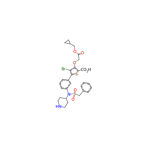 O=C(COc1c(C(=O)O)sc(-c2cccc(N(C3CCNCC3)S(=O)(=O)Cc3ccccc3)c2)c1Br)OCC1CC1